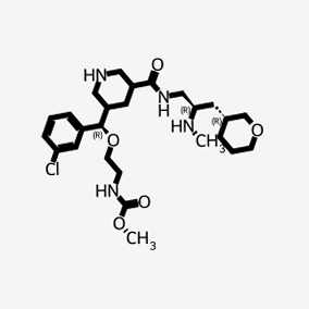 CN[C@@H](CNC(=O)C1CNCC([C@@H](OCCNC(=O)OC)c2cccc(Cl)c2)C1)C[C@H]1CCCOC1